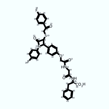 O=C(COc1ccc(C2C(SCC(=O)c3ccc(F)cc3)C(=O)N2c2ccc(F)cc2)cc1)NCC(=O)N[C@H](Cc1ccccc1)C(=O)O